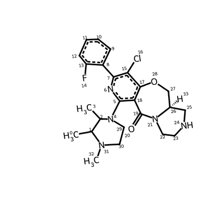 CC1C(C)N(c2nc(-c3ccccc3F)c(Cl)c3c2C(=O)N2CCNC[C@@H]2CO3)CCN1C